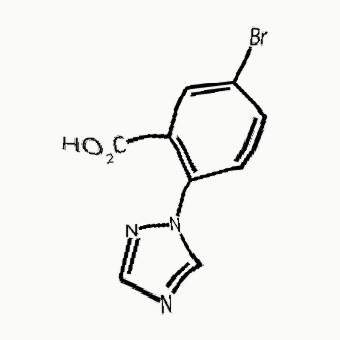 O=C(O)c1cc(Br)ccc1-n1cncn1